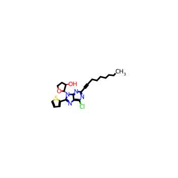 CCCCCCCC#Cc1nc(Cl)c2nc(-c3cccs3)n([C@@H]3OCC[C@H]3O)c2n1